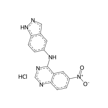 Cl.O=[N+]([O-])c1ccc2ncnc(Nc3ccc4[nH]ncc4c3)c2c1